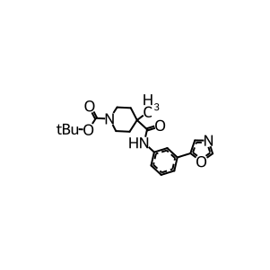 CC(C)(C)OC(=O)N1CCC(C)(C(=O)Nc2cccc(-c3cnco3)c2)CC1